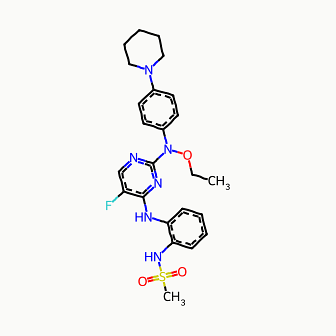 CCON(c1ccc(N2CCCCC2)cc1)c1ncc(F)c(Nc2ccccc2NS(C)(=O)=O)n1